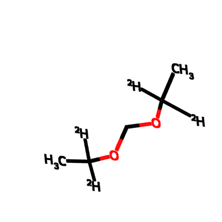 [2H]C([2H])(C)OCOC([2H])([2H])C